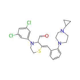 O=CC1C(=Cc2ccccc2N2CCN(C3CC3)CC2)SCCN1c1cc(Cl)cc(Cl)c1